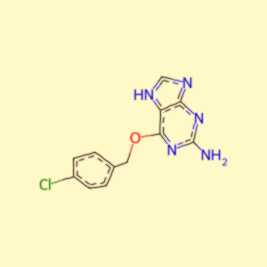 Nc1nc(OCc2ccc(Cl)cc2)c2[nH]cnc2n1